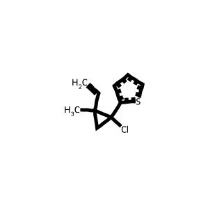 C=CC1(C)CC1(Cl)c1cccs1